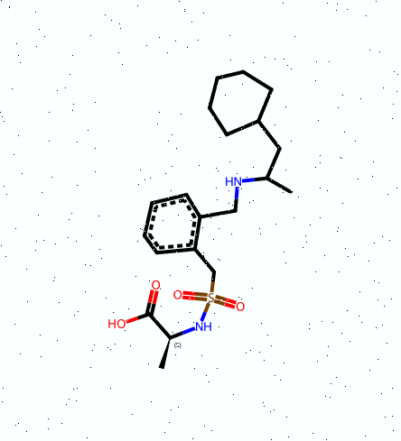 CC(CC1CCCCC1)NCc1ccccc1CS(=O)(=O)N[C@@H](C)C(=O)O